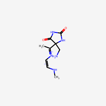 CN/C=C\N=C(/C)C1(CN)NC(=O)NC1=O